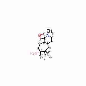 BC1(C)CCC2C(CCN(C)C23COC3)CC1(C)C